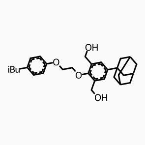 CCC(C)c1ccc(OCCOc2c(CO)cc(C34CC5CC(CC(C5)C3)C4)cc2CO)cc1